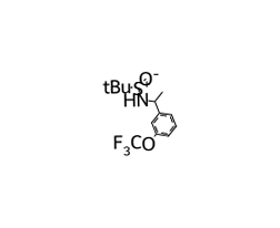 CC(N[S@+]([O-])C(C)(C)C)c1cccc(OC(F)(F)F)c1